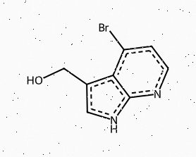 OCc1c[nH]c2nccc(Br)c12